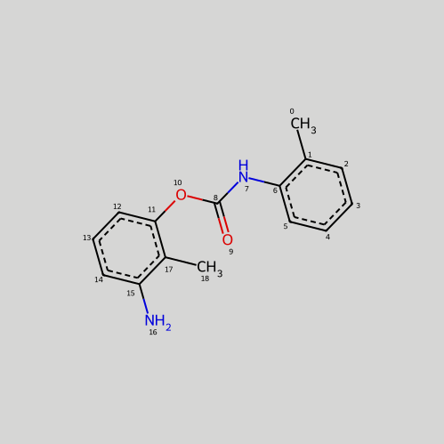 Cc1ccccc1NC(=O)Oc1cccc(N)c1C